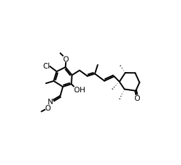 CO/N=C/c1c(C)c(Cl)c(OC)c(C/C=C(C)/C=C/[C@@]2(C)[C@H](C)CCC(=O)[C@@H]2C)c1O